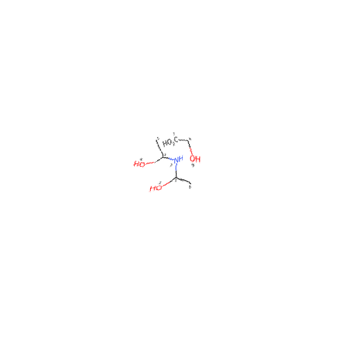 CC(O)NC(C)O.O=C(O)CO